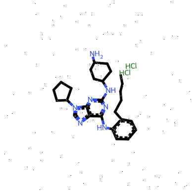 CCCCCc1ccccc1Nc1nc(NC2CCC(N)CC2)nc2c1ncn2C1CCCC1.Cl.Cl